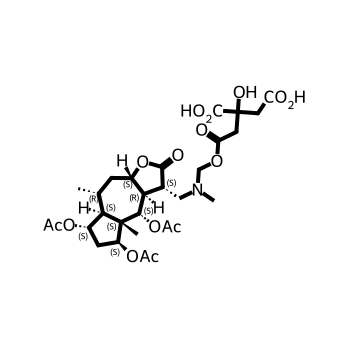 CC(=O)O[C@H]1C[C@H](OC(C)=O)[C@]2(C)[C@@H]1[C@H](C)C[C@@H]1OC(=O)[C@H](CN(C)COC(=O)CC(O)(CC(=O)O)C(=O)O)[C@H]1[C@@H]2OC(C)=O